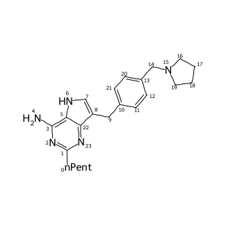 CCCCCc1nc(N)c2[nH]cc(Cc3ccc(CN4CCCC4)cc3)c2n1